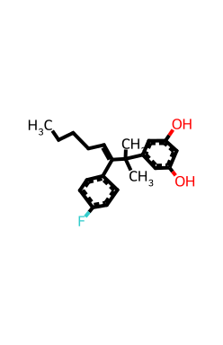 CCCC/C=C(\c1ccc(F)cc1)C(C)(C)c1cc(O)cc(O)c1